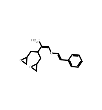 O=C(O)C(=COC=Cc1ccccc1)C(CC1CO1)CC1CO1